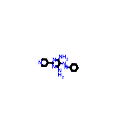 Nc1nc(-c2ccncc2)nc(N)c1/N=N/c1ccccc1